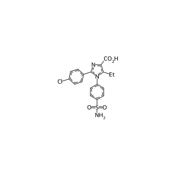 CCc1c(C(=O)O)nc(-c2ccc(Cl)cc2)n1-c1ccc(S(N)(=O)=O)cc1